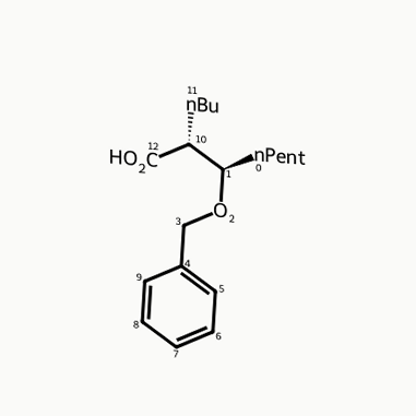 CCCCC[C@@H](OCc1ccccc1)[C@@H](CCCC)C(=O)O